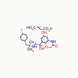 CC(C)(Cc1ccc(F)cc1)NC[C@H](O)c1cc(O)cc2c1OCC(=O)N2.O=C(O)/C=C/C(=O)O